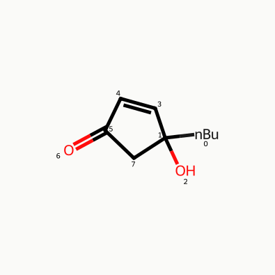 CCCCC1(O)C=CC(=O)C1